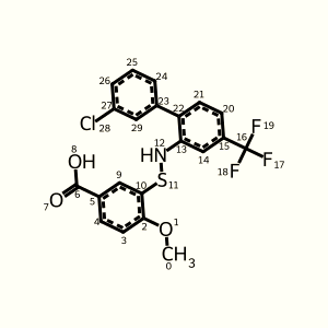 COc1ccc(C(=O)O)cc1SNc1cc(C(F)(F)F)ccc1-c1cccc(Cl)c1